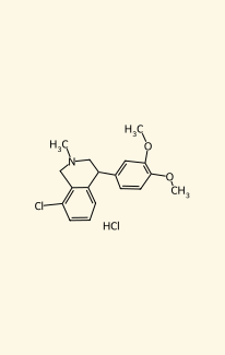 COc1ccc(C2CN(C)Cc3c(Cl)cccc32)cc1OC.Cl